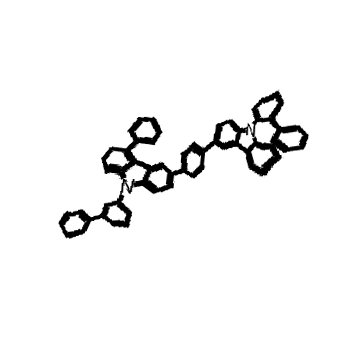 c1ccc(-c2cccc(-n3c4ccc(-c5ccc(-c6ccc7c(c6)c6ccccc6n7-c6ccccc6-c6ccccc6)cc5)cc4c4c(-c5ccccc5)cccc43)c2)cc1